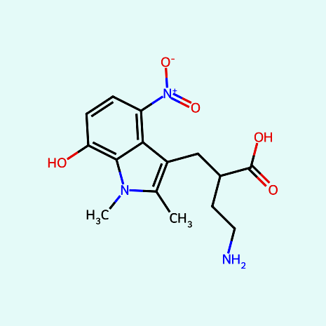 Cc1c(CC(CCN)C(=O)O)c2c([N+](=O)[O-])ccc(O)c2n1C